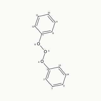 c1ccc(OOOc2ccccc2)cc1